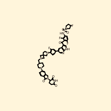 O=C1CCC(N2Cc3cc(N4CCC(CN5CC6(CCN(c7ccc(-c8cnc9[nH]cc(C(=O)c%10c(F)ccc(NS(=O)(=O)N%11CC[C@@H](F)C%11)c%10F)c9c8)cc7F)C6)C5)CC4)ccc3C2=O)C(=O)N1